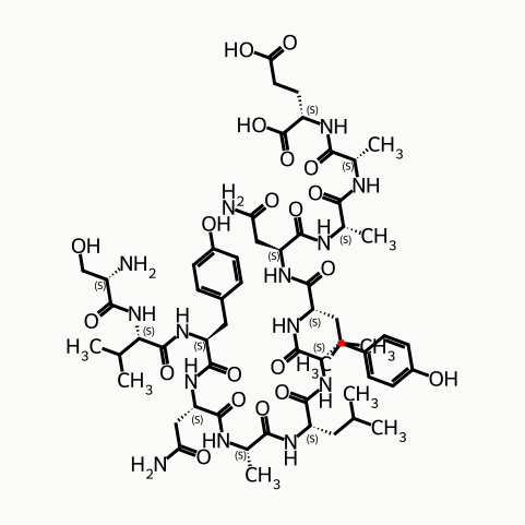 CC(C)C[C@H](NC(=O)[C@H](C)NC(=O)[C@H](CC(N)=O)NC(=O)[C@H](Cc1ccc(O)cc1)NC(=O)[C@@H](NC(=O)[C@@H](N)CO)C(C)C)C(=O)N[C@@H](Cc1ccc(O)cc1)C(=O)N[C@@H](CC(C)C)C(=O)N[C@@H](CC(N)=O)C(=O)N[C@@H](C)C(=O)N[C@@H](C)C(=O)N[C@@H](CCC(=O)O)C(=O)O